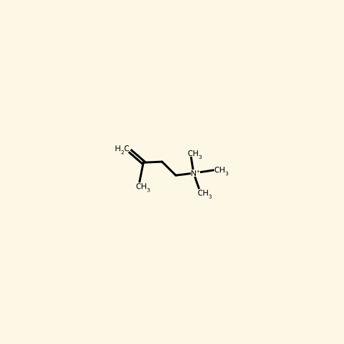 C=C(C)CC[N+](C)(C)C